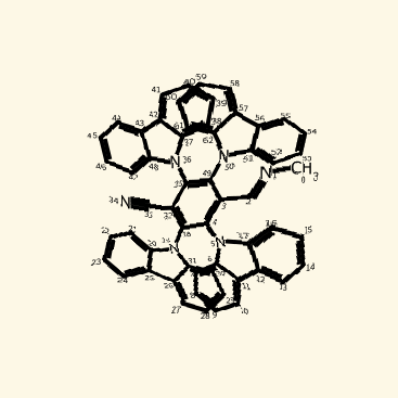 C/N=C/c1c(-n2c3ccccc3c3ccccc32)c(-n2c3ccccc3c3ccccc32)c(C#N)c(-n2c3ccccc3c3ccccc32)c1-n1c2ccccc2c2ccccc21